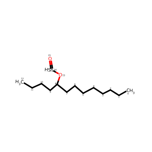 CCCCCCCCC(CCCC)[O][SnH]=[O]